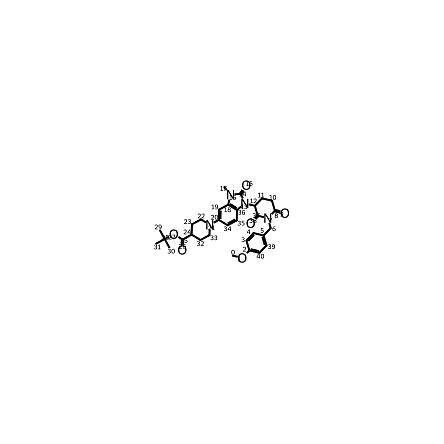 COc1ccc(CN2C(=O)CCC(n3c(=O)n(C)c4cc(N5CCC(C(=O)OC(C)(C)C)CC5)ccc43)C2=O)cc1